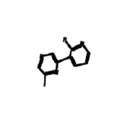 Cc1cncc(-c2cccnc2F)n1